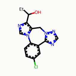 CCC(O)c1ncn2c1Cn1ncnc1-c1cc(Cl)ccc1-2